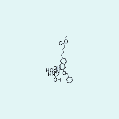 CCOC(=O)CCCCc1ccc2cc(OCc3ccccc3)c(N3CC(O)NS3(O)O)cc2c1